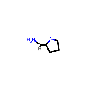 NBC1CCCN1